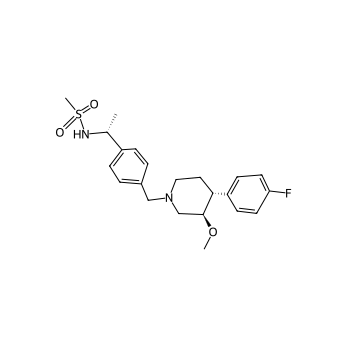 CO[C@H]1CN(Cc2ccc([C@@H](C)NS(C)(=O)=O)cc2)CC[C@@H]1c1ccc(F)cc1